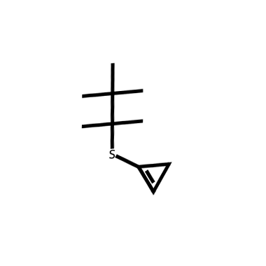 CC(C)(C)C(C)(C)SC1=CC1